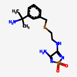 CC(C)(N)c1cccc(CSCCNC2=NS(=O)(=O)N=C2N)c1